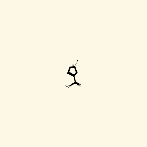 C[C@H]1CC=C(C(=O)O)C1